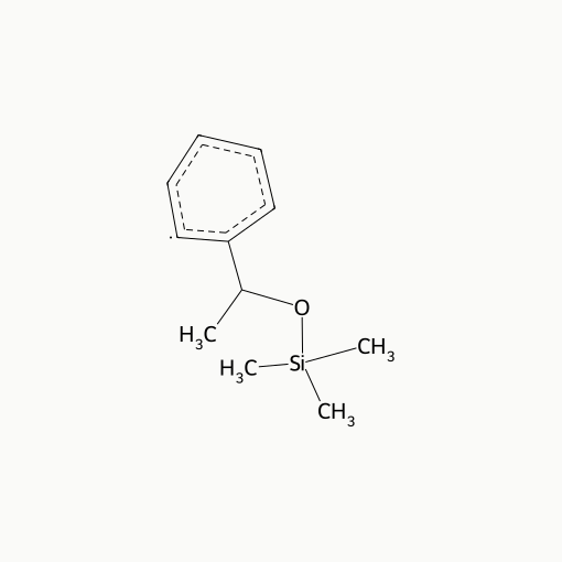 CC(O[Si](C)(C)C)c1[c]cccc1